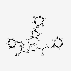 CC(C)(C)[S+]([O-])NC(CCC(=O)OCc1ccccc1)P(=O)(Cc1cc(-c2ccccc2)on1)OCc1ccccc1